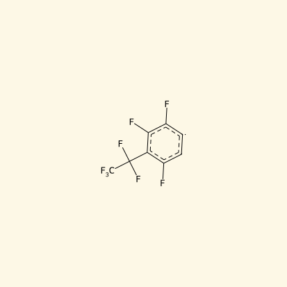 Fc1[c]cc(F)c(C(F)(F)C(F)(F)F)c1F